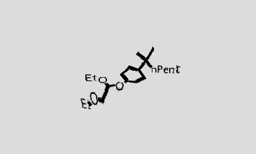 CCCCCC(C)(C)c1ccc(OC(COCC)OCC)cc1